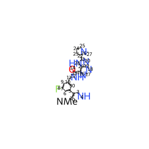 CN/C=C(\C=N)c1cc(F)cc(CNC(=O)c2ncnc3nc([C@H]4CCCN4C)[nH]c23)c1